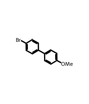 COc1ccc(-c2c[c]c(Br)cc2)cc1